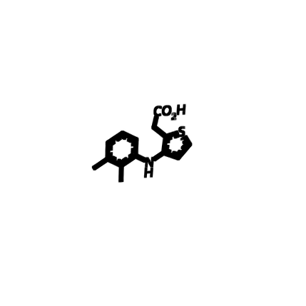 Cc1cccc(Nc2ccsc2CC(=O)O)c1C